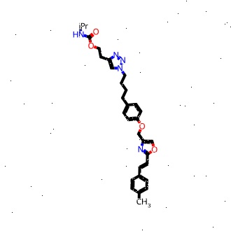 Cc1ccc(/C=C/c2nc(COc3ccc(CCCCn4cc(CCOC(=O)NC(C)C)nn4)cc3)co2)cc1